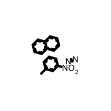 Cc1cccc([N+](=O)[O-])c1.N#N.c1ccc2ccccc2c1